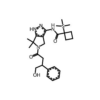 CC1(C)c2[nH]nc(NC(=O)C3(S(C)(C)C)CCC3)c2CN1C(=O)CC(CO)c1ccccc1